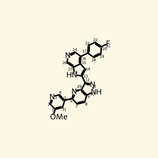 COc1cncc(-c2ccc3[nH]nc(-c4cc5c(-c6ccc(F)cc6)cncc5[nH]4)c3n2)c1